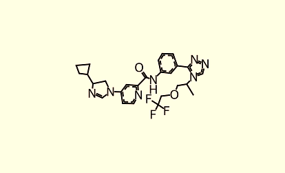 CC(COCC(F)(F)F)n1cnnc1-c1cccc(NC(=O)c2cc(N3C=NC(C4CCC4)C3)ccn2)c1